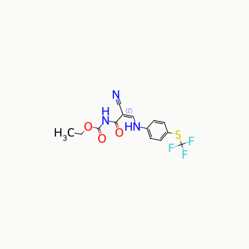 CCOC(=O)NC(=O)/C(C#N)=C\Nc1ccc(SC(F)(F)F)cc1